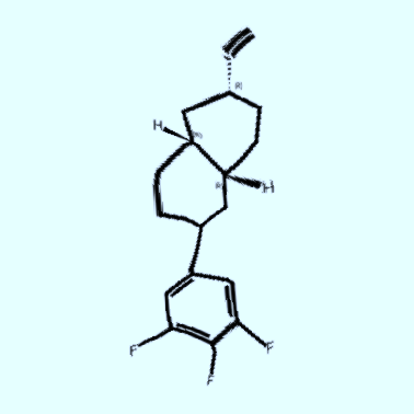 C=C[C@@H]1CC[C@@H]2CC(c3cc(F)c(F)c(F)c3)CC[C@@H]2C1